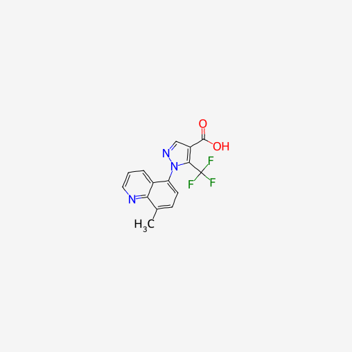 Cc1ccc(-n2ncc(C(=O)O)c2C(F)(F)F)c2cccnc12